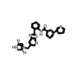 O=C(Nc1ccccc1-c1nc2cc(CN3C[C@@H]4C[C@H]3CN4)cnc2s1)c1cccc(-c2cccnc2)c1